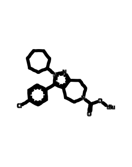 CC(C)(C)OC(=O)N1CCc2nn(C3CCCCCC3)c(-c3ccc(Cl)cc3)c2CC1